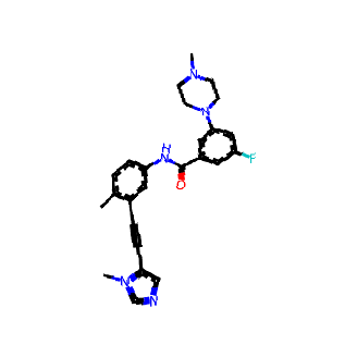 Cc1ccc(NC(=O)c2cc(F)cc(N3CCN(C)CC3)c2)cc1C#Cc1cncn1C